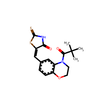 CC(C)(C)C(=O)N1CCOc2ccc(C=C3SC(=S)NC3=O)cc21